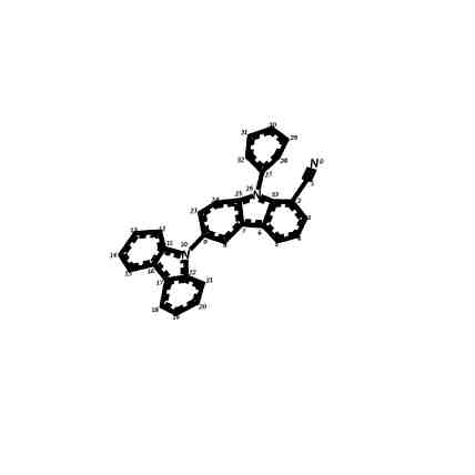 N#Cc1cccc2c3cc(-n4c5ccccc5c5ccccc54)ccc3n(-c3ccccc3)c12